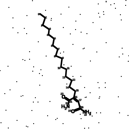 CCCCCCCCCCCCCCCCC(=CC(N)=O)C(N)=O